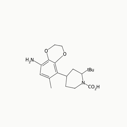 Cc1cc(N)c2c(c1C1CCN(C(=O)O)C(C(C)(C)C)C1)OCCO2